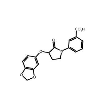 O=C(O)c1cccc(N2CCC(Oc3ccc4c(c3)OCO4)C2=O)c1